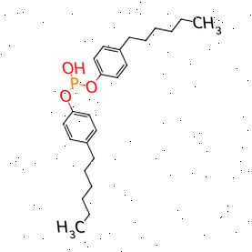 CCCCCCc1ccc(OP(O)Oc2ccc(CCCCCC)cc2)cc1